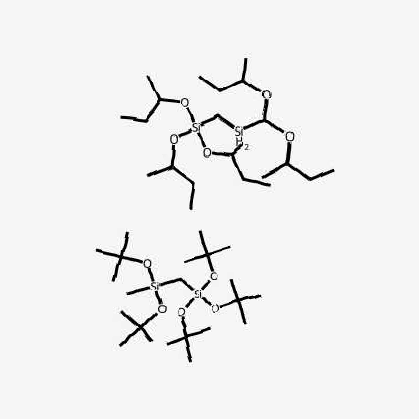 CC(C)(C)O[Si](C)(C[Si](OC(C)(C)C)(OC(C)(C)C)OC(C)(C)C)OC(C)(C)C.CCC(C)OC(OC(C)CC)[SiH2]C[Si](OC(C)CC)(OC(C)CC)OC(C)CC